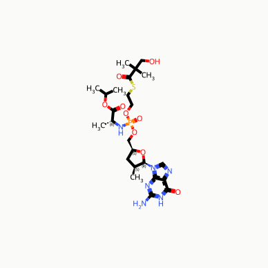 CC(C)OC(=O)[C@@H](C)NP(=O)(OCCSC(=O)C(C)(C)CO)OC[C@@H]1C[C@H](C)[C@H](n2cnc3c(=O)[nH]c(N)nc32)O1